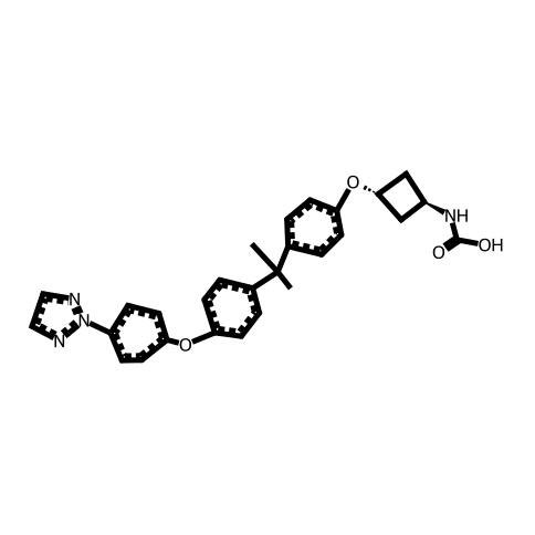 CC(C)(c1ccc(Oc2ccc(-n3nccn3)cc2)cc1)c1ccc(O[C@H]2C[C@H](NC(=O)O)C2)cc1